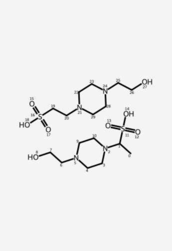 CC(N1CCN(CCO)CC1)S(=O)(=O)O.O=S(=O)(O)CCN1CCN(CCO)CC1